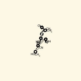 CC1(C)CCC(CN2CCN(c3ccc(C(=O)NS(=O)(=O)c4ccc(OC[C@H]5CC[C@@](C)(O)CC5)c(C#N)c4)c(Oc4cccc5[nH]ncc45)c3)CC2)=C(c2ccc(Cl)cc2)C1